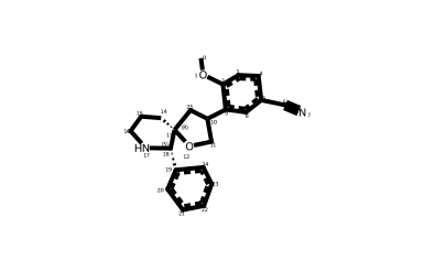 COc1ccc(C#N)cc1C1CO[C@]2(CCCN[C@H]2c2ccccc2)C1